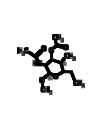 CCC1O[C@@H](OC)C(NC(C)=O)C(OC(C)=O)[C@H]1C